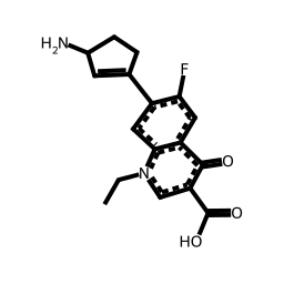 CCn1cc(C(=O)O)c(=O)c2cc(F)c(C3=CC(N)CC3)cc21